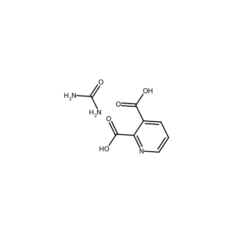 NC(N)=O.O=C(O)c1cccnc1C(=O)O